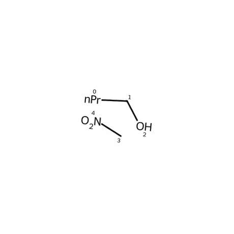 CCCCO.C[N+](=O)[O-]